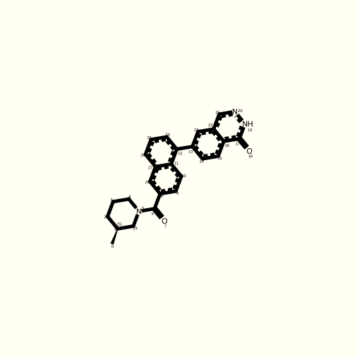 C[C@H]1CCCN(C(=O)c2ccc3c(-c4ccc5c(=O)[nH]ncc5c4)cccc3c2)C1